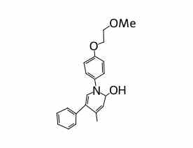 COCCOc1ccc(N2C=C(c3ccccc3)C(C)=CC2O)cc1